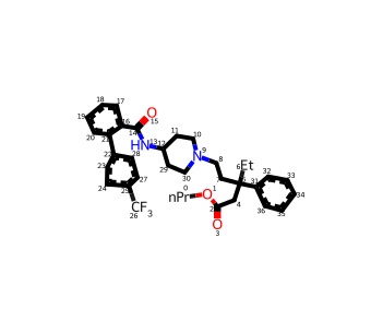 CCCOC(=O)CC(CC)(CCN1CCC(NC(=O)c2ccccc2-c2ccc(C(F)(F)F)cc2)CC1)c1ccccc1